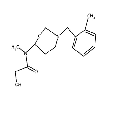 Cc1ccccc1CN1CCC(N(C)C(=O)CO)CC1